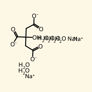 O.O.O.O.O.O.O=C([O-])CC(O)(CC(=O)[O-])C(=O)[O-].[Na+].[Na+].[Na+]